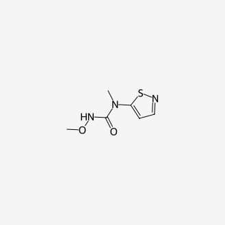 CONC(=O)N(C)c1ccns1